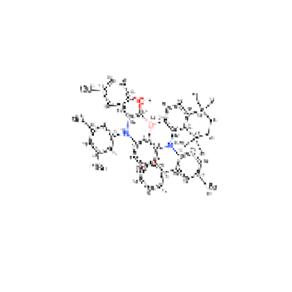 Cc1cc2c3c(c1)N(c1cc(C(C)(C)C)cc(C(C)(C)C)c1)c1c(oc4ccc(C(C)(C)C)cc14)B3c1ccc3c(c1N2c1ccc(C(C)(C)C)cc1-c1ccccc1)C(C)(C)CCC3(C)C